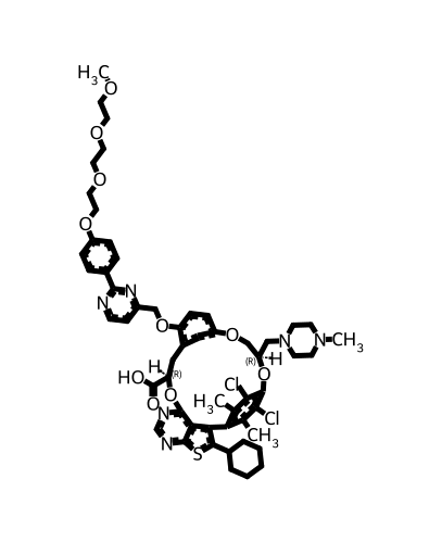 COCCOCCOCCOc1ccc(-c2nccc(COc3ccc4cc3C[C@H](C(=O)O)Oc3ncnc5sc(C6CCCCC6)c(c35)-c3c(C)c(Cl)c(c(Cl)c3C)O[C@H](CN3CCN(C)CC3)CO4)n2)cc1